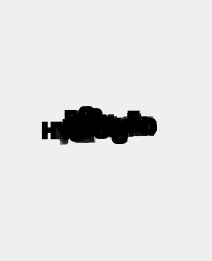 COc1c(N2CCNC(C)C2)c(F)c(C)c2c(=O)c(C(=O)OCN(C[C@H]3CN(c4ccc(N5CCOCC5)c(F)c4)C(=O)O3)C(C)=O)c(C)n(C3CC3)c12